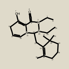 CCN1C(=O)C2=C(O)CC=CN2C(CC2=C(C)CCCC2(C)C)N1CC